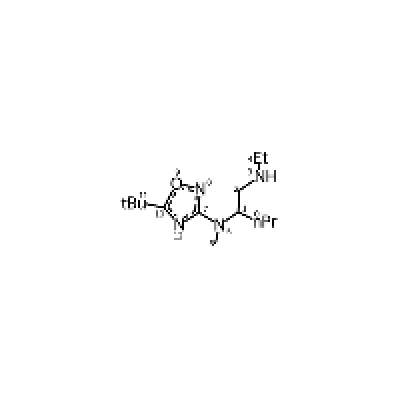 CCCC(CNCC)N(C)c1noc(C(C)(C)C)n1